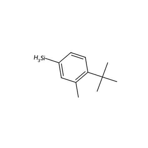 Cc1cc([SiH3])ccc1C(C)(C)C